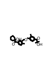 Cc1cc(C(=O)C(C)(C)O)ccc1COCc1cc(C(=O)C2(O)CCCCC2)ccc1C